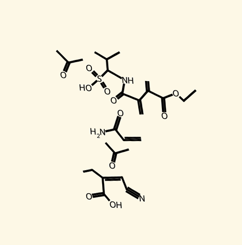 C=C(C(=C)C(=O)OCC)C(=O)NC(C(C)C)S(=O)(=O)O.C=CC(N)=O.CC(C)=O.CC(C)=O.CCC(=CC#N)C(=O)O